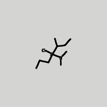 CCC[Si](Cl)(C(C)CC)N(C)C